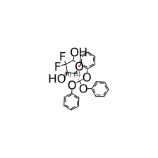 OC1O[C@H](C(Oc2ccccc2)(Oc2ccccc2)Oc2ccccc2)[C@@H](O)C1(F)F